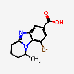 CC1CCCc2nc3cc(C(=O)O)cc(Br)c3n21